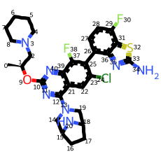 C[C@@H](CN1CCCCC1)Oc1nc(N2CC3CCC(C2)N3)c2cc(Cl)c(-c3ccc(F)c4sc(N)nc34)c(F)c2n1